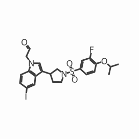 CC(C)Oc1ccc(S(=O)(=O)N2CCC(c3cn(CC=O)c4ccc(I)cc34)C2)cc1F